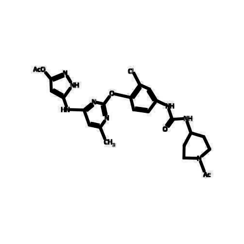 CC(=O)Oc1cc(Nc2cc(C)nc(Oc3ccc(NC(=O)NC4CCN(C(C)=O)CC4)cc3Cl)n2)[nH]n1